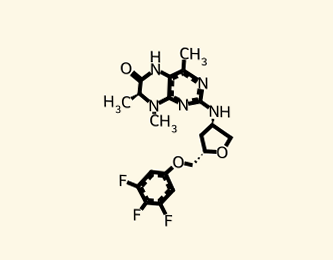 Cc1nc(N[C@@H]2CO[C@H](COc3cc(F)c(F)c(F)c3)C2)nc2c1NC(=O)[C@H](C)N2C